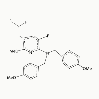 COc1ccc(CN(Cc2ccc(OC)cc2)c2nc(OC)c(CC(F)F)cc2F)cc1